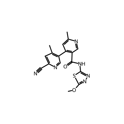 COc1nnc(NC(=O)c2cnc(C)cc2-c2cnc(C#N)cc2C)s1